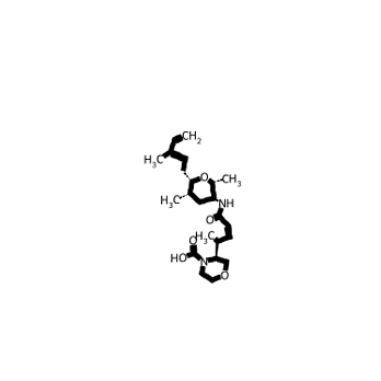 C=C/C(C)=C/C[C@@H]1O[C@H](C)[C@H](NC(=O)/C=C\C(C)[C@H]2COCCN2C(=O)O)C[C@@H]1C